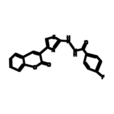 O=C(NNc1nc(-c2cc3ccccc3oc2=O)cs1)c1ccc(F)cc1